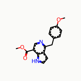 COC(=O)c1cnc(Cc2ccc(OC)cc2)c2cc[nH]c12